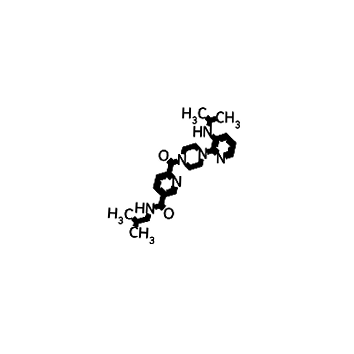 CC(C)CNC(=O)c1ccc(C(=O)N2CCN(c3ncccc3NC(C)C)CC2)nc1